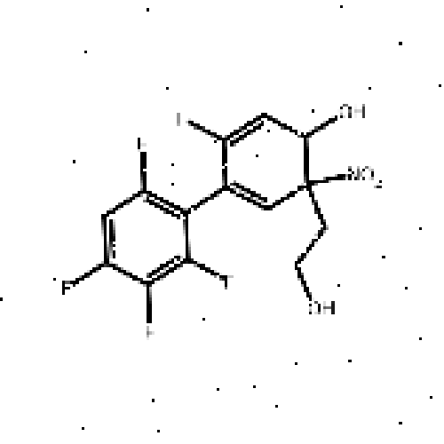 O=[N+]([O-])C1(CCO)C=C(c2c(F)cc(F)c(F)c2F)C(F)=CC1O